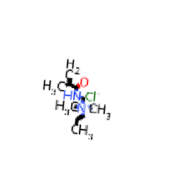 C=C(C)C(=O)NC[N+](C)(C)C=CC.[Cl-]